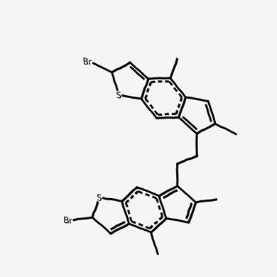 CC1=Cc2c(C)c3c(cc2=C1CCC1=c2cc4c(c(C)c2C=C1C)=CC(Br)S4)SC(Br)C=3